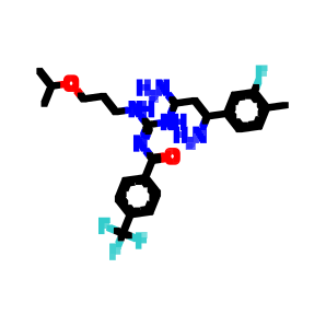 Cc1ccc(C(N)CC(N)N/C(=N\C(=O)c2ccc(C(F)(F)F)cc2)NCCCOC(C)C)cc1F